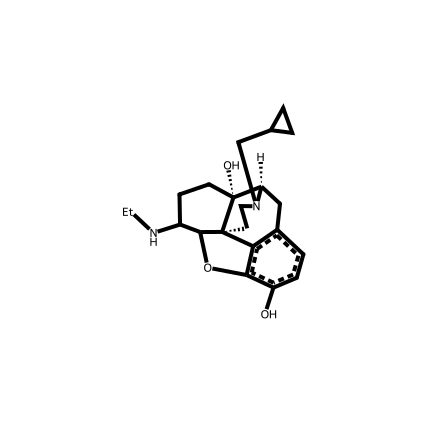 CCNC1CC[C@@]2(O)[C@H]3Cc4ccc(O)c5c4[C@@]2(CCN3CC2CC2)C1O5